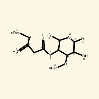 C=C(CCCCCCCCCCC)CC(=O)NC1C(C)OC(CC)C(O)C1OCCCCCCCCCC